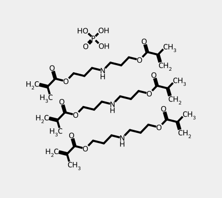 C=C(C)C(=O)OCCCNCCCOC(=O)C(=C)C.C=C(C)C(=O)OCCCNCCCOC(=O)C(=C)C.C=C(C)C(=O)OCCCNCCCOC(=O)C(=C)C.O=P(O)(O)O